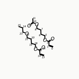 C=CC(=O)OCCCCOC(C)=O.C=CC(=O)OCCCCOCCC